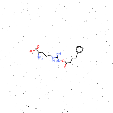 N=C(NCCCC(N)C(=O)O)NOC(=O)CCCc1ccccc1